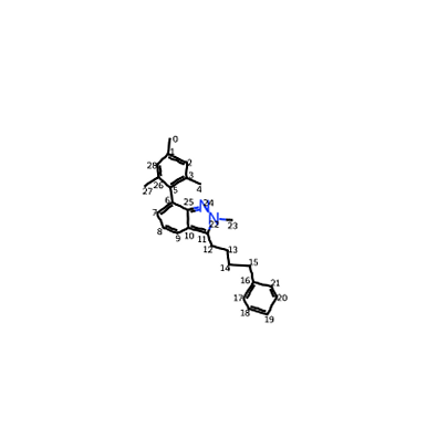 Cc1cc(C)c(-c2cccc3c(CC[CH]Cc4ccccc4)n(C)nc23)c(C)c1